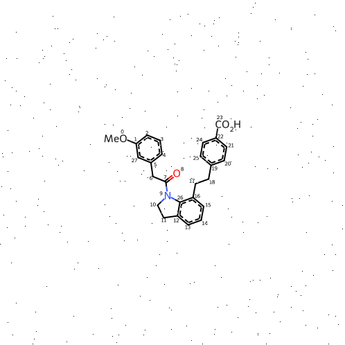 COc1cccc(CC(=O)N2CCc3cccc(CCc4ccc(C(=O)O)cc4)c32)c1